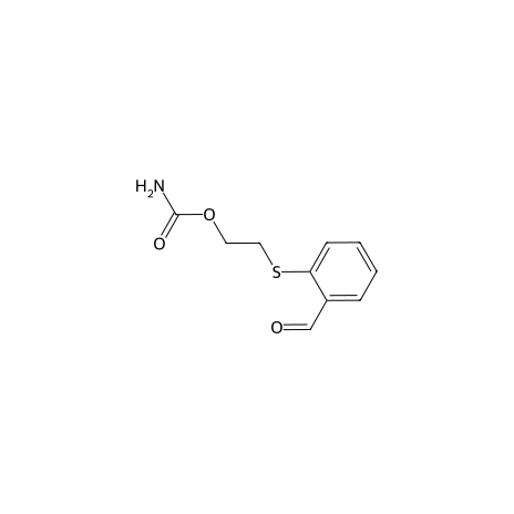 NC(=O)OCCSc1ccccc1C=O